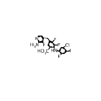 Nc1nccc(Cc2cc(C(=O)O)c(Nc3cc(Cl)c(I)cc3F)c(F)c2F)c1F